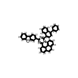 c1ccc(-c2ccc(-c3nc(-c4ccc5c(c4)oc4ccccc45)nc(-c4cccc5ccc6ccccc6c45)n3)c3ccccc23)cc1